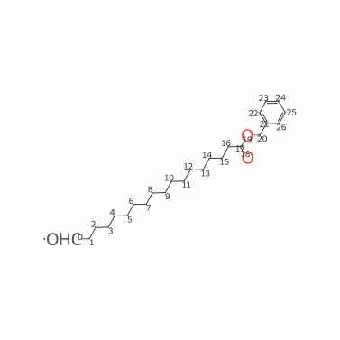 O=[C]CCCCCCCCCCCCCCCCC(=O)OCc1ccccc1